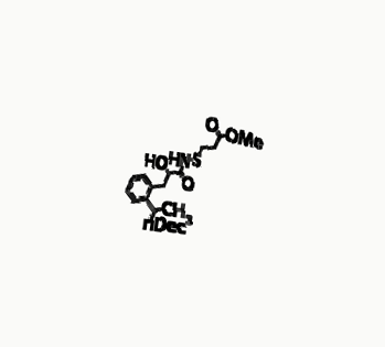 CCCCCCCCCCC(C)c1ccccc1CC(O)C(=O)NSCCC(=O)OC